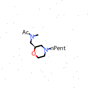 CCCCCN1CCO[C@@H](CN(C)C(C)=O)C1